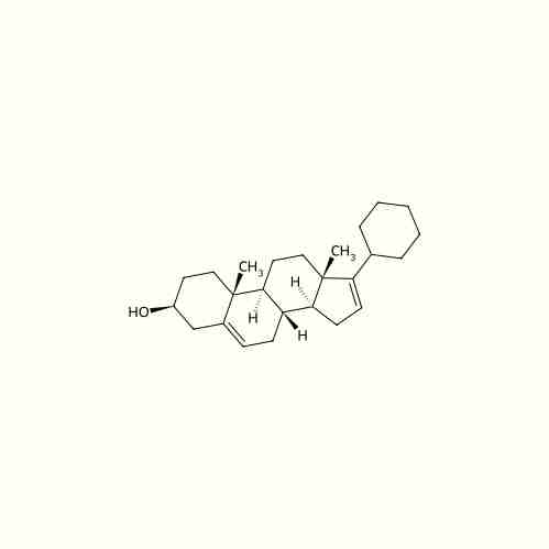 C[C@]12CC[C@H](O)CC1=CC[C@@H]1[C@@H]2CC[C@]2(C)C(C3CCCCC3)=CC[C@@H]12